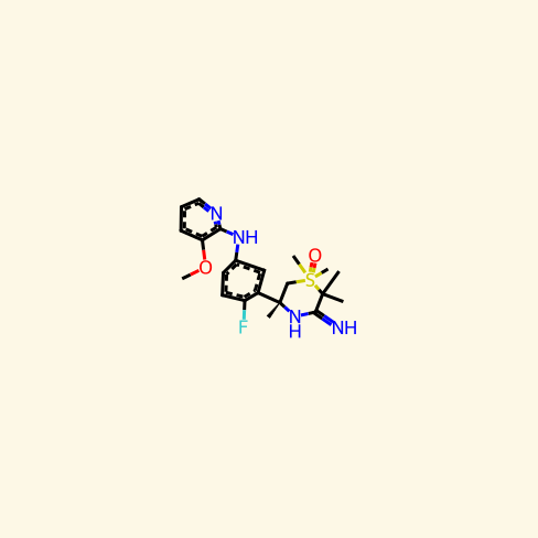 COc1cccnc1Nc1ccc(F)c([C@]2(C)CS(C)(C)(=O)C(C)(C)C(=N)N2)c1